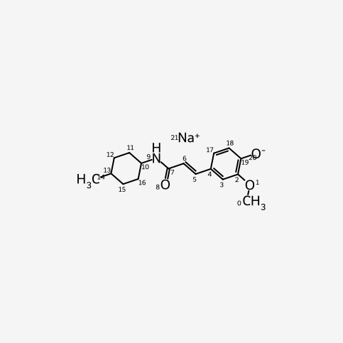 COc1cc(C=CC(=O)NC2CCC(C)CC2)ccc1[O-].[Na+]